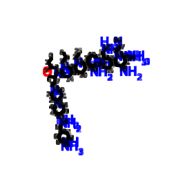 CCC1CNCCO1.CCCN1CCCCC1.CCN1CCCCC1.CCN1CCCCC1.N.N.N.NC1CCCCN1.NC1CCNCC1.NCC1CCCCN1.NCC1CCNCC1.NCCN1CCC(N)CC1